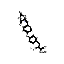 COC(=O)C(N)Cc1ccc(Oc2ccc(/C=C3/OC(=O)NC3=O)cc2)cc1